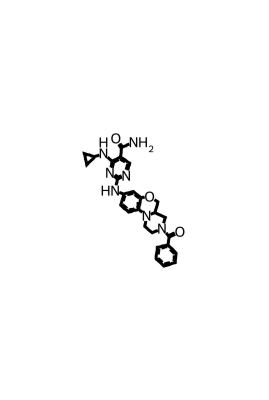 NC(=O)c1cnc(Nc2ccc3c(c2)OCC2CN(C(=O)c4ccccc4)CCN32)nc1NC1CC1